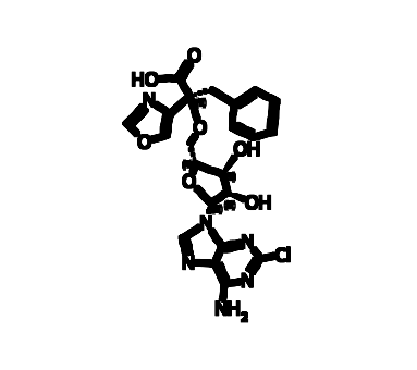 Nc1nc(Cl)nc2c1ncn2[C@@H]1O[C@H](CO[C@](Cc2ccccc2)(C(=O)O)c2cocn2)[C@@H](O)[C@H]1O